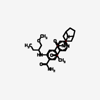 CCC(COC)Nc1cc(C(=O)NC2CC3CCC(C2)N3c2ccc(C(C)=O)cn2)ccc1C(N)=O